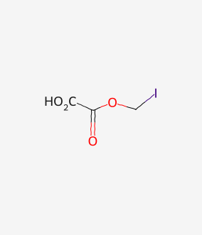 O=C(O)C(=O)OCI